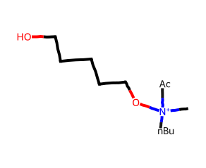 CCCC[N+](C)(OCCCCCO)C(C)=O